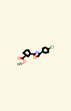 CCCOC(=O)c1cccc(-c2nc(-c3ccc(Cl)cc3)co2)c1